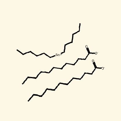 CCCCCCCCCCCC(=O)[O-].CCCCCCCCCCCC(=O)[O-].CCCCC[CH2][Sn+2][CH2]CCCCC